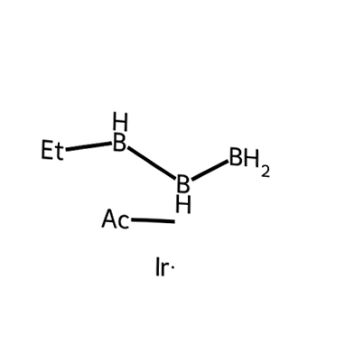 BBBCC.CC(C)=O.[Ir]